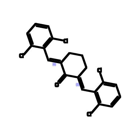 O=C1/C(=C/c2c(Cl)cccc2Cl)CCC/C1=C\c1c(Cl)cccc1Cl